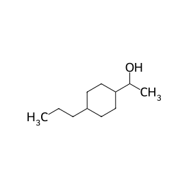 CCCC1CCC(C(C)O)CC1